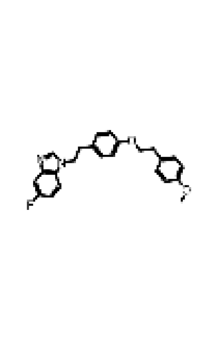 COc1ccc(CCOc2ccc(CCn3cnc4cc(F)ccc43)cc2)cc1